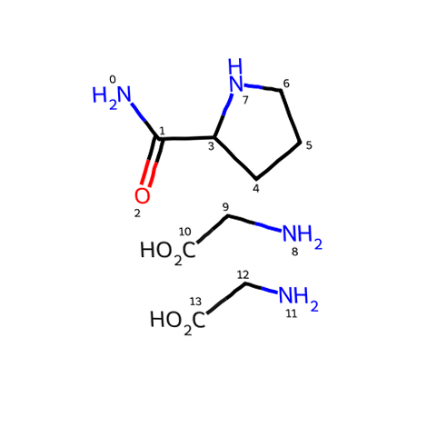 NC(=O)C1CCCN1.NCC(=O)O.NCC(=O)O